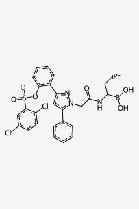 CC(C)CC(NC(=O)Cn1nc(-c2ccccc2OS(=O)(=O)c2cc(Cl)ccc2Cl)cc1-c1ccccc1)B(O)O